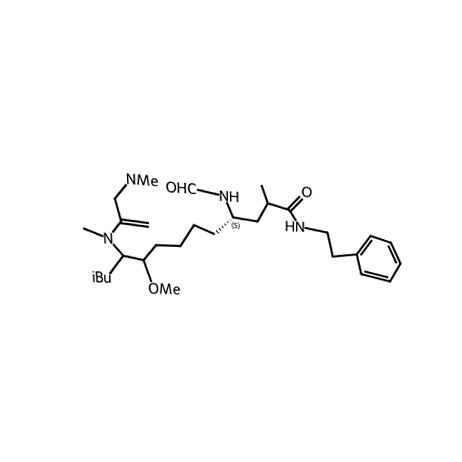 C=C(CNC)N(C)C(C(C)CC)C(CCCC[C@@H](CC(C)C(=O)NCCc1ccccc1)NC=O)OC